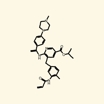 C=CC(=O)Nc1cc(Cc2cc(C(=O)OC(C)C)cnc2NC(=C)c2ccc(N3CCN(C)CC3)cc2)ccc1C